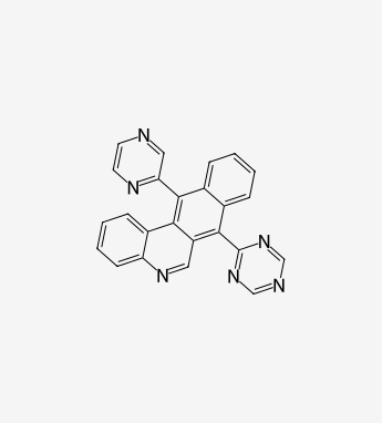 c1ccc2c(c1)ncc1c(-c3ncncn3)c3ccccc3c(-c3cnccn3)c12